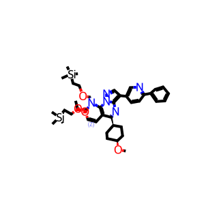 CCO/C=C\c1c(N(COCC[Si](C)(C)C)COCC[Si](C)(C)C)n2ncc(-c3ccc(-c4ccccc4)nc3)c2nc1[C@H]1CC[C@@H](OC)CC1